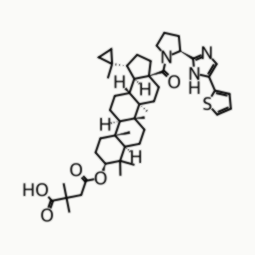 CC(C)(CC(=O)O[C@H]1CC[C@]2(C)[C@H]3CC[C@@H]4[C@H]5[C@H](C6(C)CC6)CC[C@]5(C(=O)N5CCC[C@H]5c5ncc(-c6cccs6)[nH]5)CC[C@@]4(C)[C@]3(C)CC[C@H]2C1(C)C)C(=O)O